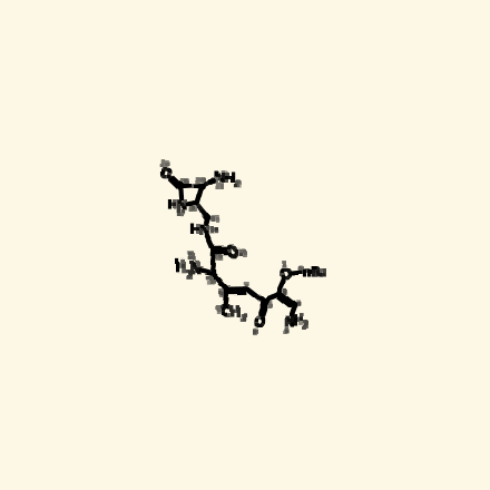 CCCCO/C(=C/N)C(=O)C=C(C)C(N)C(=O)NC[C@H]1NC(=O)[C@H]1N